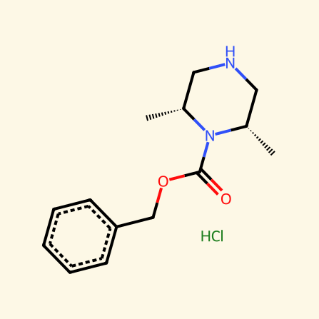 C[C@@H]1CNC[C@H](C)N1C(=O)OCc1ccccc1.Cl